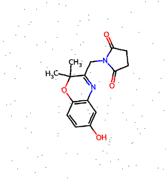 CC1(C)Oc2ccc(O)cc2N=C1CN1C(=O)CCC1=O